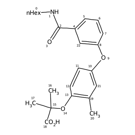 CCCCCCNC(=O)c1cccc(Oc2ccc(OC(C)(C)C(=O)O)c(C)c2)c1